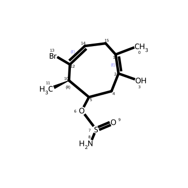 C/C1=C(\O)CC(OS(N)=O)[C@@H](C)/C(Br)=C\C1